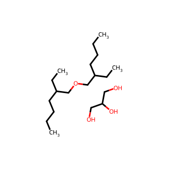 CCCCC(CC)COCC(CC)CCCC.OCC(O)CO